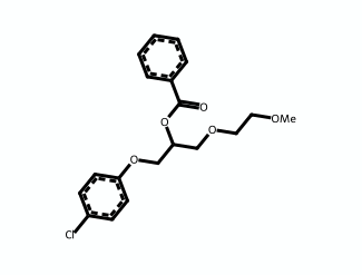 COCCOCC(COc1ccc(Cl)cc1)OC(=O)c1ccccc1